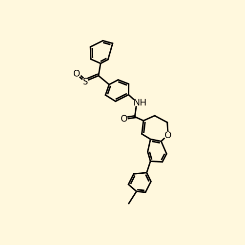 Cc1ccc(-c2ccc3c(c2)C=C(C(=O)Nc2ccc(C(=S=O)c4ccccc4)cc2)CCO3)cc1